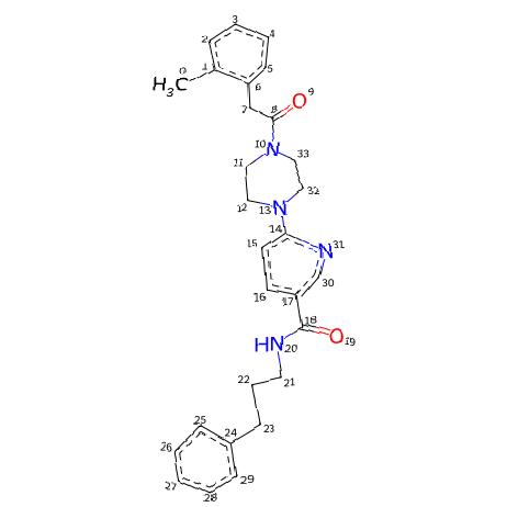 Cc1ccccc1CC(=O)N1CCN(c2ccc(C(=O)NCCCc3ccccc3)cn2)CC1